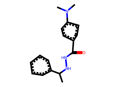 CC(NNC(=O)c1ccc(N(C)C)cc1)c1ccccc1